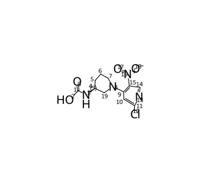 O=C(O)N[C@H]1CCCN(c2cc(Cl)ncc2[N+](=O)[O-])C1